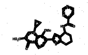 COc1c(-c2cc3c(s2)CCCC3NC(=O)c2ccncn2)ccc2c(=O)c(C(=O)O)cn(C3CC3)c12